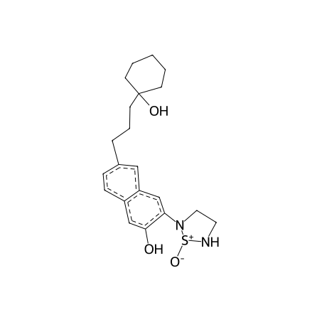 [O-][S+]1NCCN1c1cc2cc(CCCC3(O)CCCCC3)ccc2cc1O